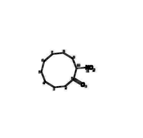 O=C1CCCCCCCCC1[N+](=O)[O-]